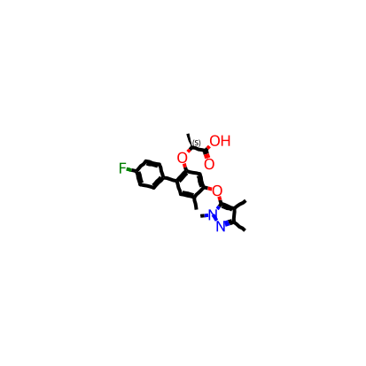 Cc1cc(-c2ccc(F)cc2)c(O[C@@H](C)C(=O)O)cc1Oc1c(C)c(C)nn1C